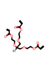 C=CC(=O)OCCOCC(CC)(COCCOC(=O)C=C)OCCOC(=O)C=C